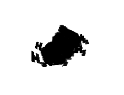 CC1(C)c2ccccc2N2c3c1cccc3C(C)(C)c1c2c2ccccc2c2c3c(c4ccccc4c12)N1c2ccccc2C(C)(C)c2cccc(c21)C3(C)C